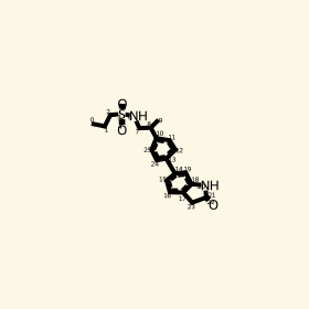 CCCS(=O)(=O)NCC(C)c1ccc(-c2ccc3c(c2)NC(=O)C3)cc1